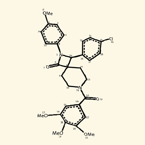 COc1ccc(N2C(=O)C3(CCN(C(=O)c4cc(OC)c(OC)c(OC)c4)CC3)C2c2ccc(Cl)cc2)cc1